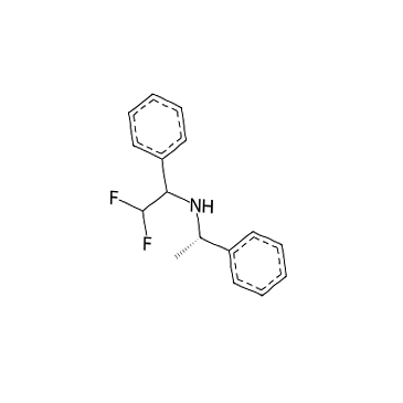 C[C@H](NC(c1ccccc1)C(F)F)c1ccccc1